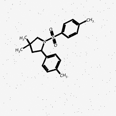 Cc1ccc(C2CC(C)(C)CN2S(=O)(=O)c2ccc(C)cc2)cc1